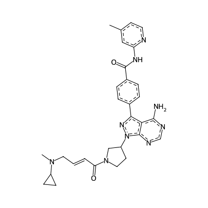 Cc1ccnc(NC(=O)c2ccc(-c3nn(C4CCN(C(=O)/C=C/CN(C)C5CC5)C4)c4ncnc(N)c34)cc2)c1